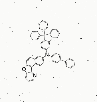 C1=CC(C2(c3ccccc3)c3ccccc3-c3cc(N(c4ccc(-c5ccccc5)cc4)c4ccc5c(ccc6oc7cccnc7c65)c4)ccc32)=CCC1